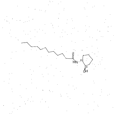 C=C(CCCCCCCCCCC)N[C@@H]1CCCC[C@H]1O